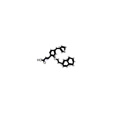 O=C(O)/C=C/c1ccc(Cc2ccsc2)cc1OCCc1ccc2ccccc2c1